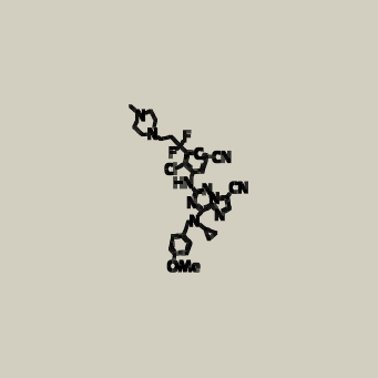 COc1ccc(CN(c2nc(Nc3cc(C#N)cc(C(F)(F)CCN4CCN(C)CC4)c3Cl)nn3c(C#N)cnc23)C2CC2)cc1